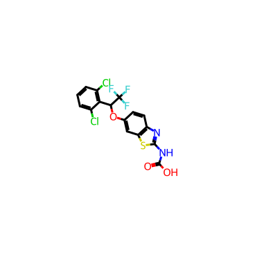 O=C(O)Nc1nc2ccc(OC(c3c(Cl)cccc3Cl)C(F)(F)F)cc2s1